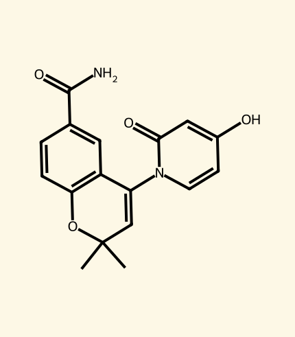 CC1(C)C=C(n2ccc(O)cc2=O)c2cc(C(N)=O)ccc2O1